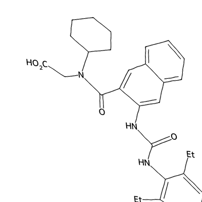 CCc1cccc(CC)c1NC(=O)Nc1cc2ccccc2cc1C(=O)N(CC(=O)O)C1CCCCC1